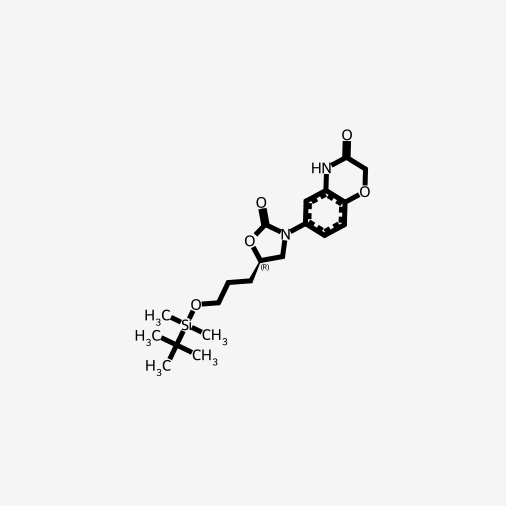 CC(C)(C)[Si](C)(C)OCCC[C@@H]1CN(c2ccc3c(c2)NC(=O)CO3)C(=O)O1